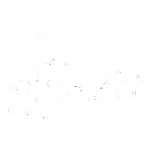 Nc1nc2c(ncn2[C@@H]2O[C@](CO)(CCO)C[C@H]2OP(=O)(O)OC[C@H]2O[C@@H](n3cnc4c(N)ncnc43)[C@H](O)[C@@H]2O)c(=O)[nH]1